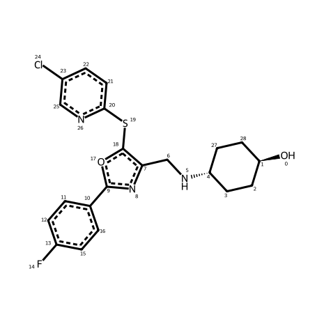 O[C@H]1CC[C@H](NCc2nc(-c3ccc(F)cc3)oc2Sc2ccc(Cl)cn2)CC1